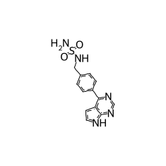 NS(=O)(=O)NCc1ccc(-c2ncnc3[nH]ccc23)cc1